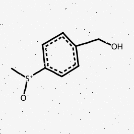 C[S+]([O-])c1ccc(CO)cc1